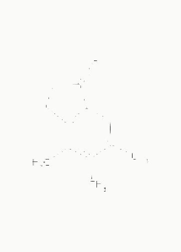 Cc1cc2c(c(C)c1C)CCC2=O